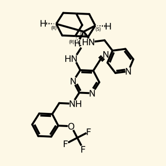 N#Cc1cnc(NCc2ccccc2OC(F)(F)F)nc1NC[C@@]12CC3C[C@H](C1)[C@@H](NCc1ccncc1)[C@@H](C3)C2